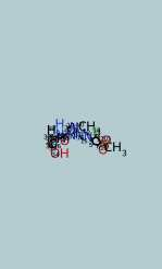 CC1CN(c2ccc(S(C)(=O)=O)cc2F)CCN1c1nccc(C(=O)NC2[C@@H]3CC4C[C@H]2CC(O)(C4)C3)n1